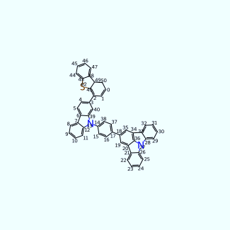 C1=CC(c2ccc3c4ccccc4n(-c4ccc(-c5cc6c7ccccc7n7c8ccccc8c(c5)c67)cc4)c3c2)=C2Sc3ccccc3C2C1